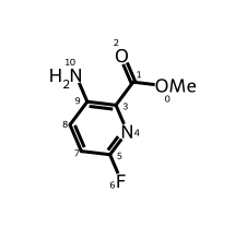 COC(=O)c1nc(F)ccc1N